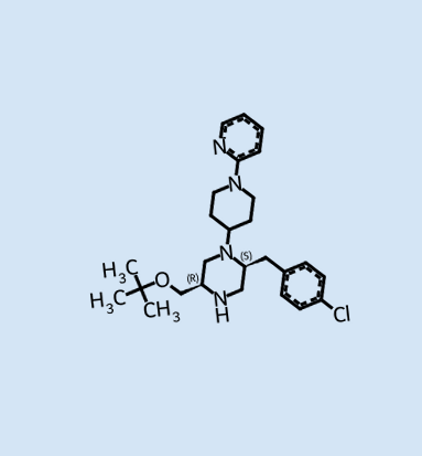 CC(C)(C)OC[C@H]1CN(C2CCN(c3ccccn3)CC2)[C@@H](Cc2ccc(Cl)cc2)CN1